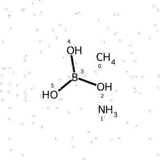 C.N.OB(O)O